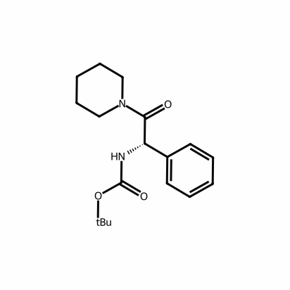 CC(C)(C)OC(=O)N[C@H](C(=O)N1CCCCC1)c1ccccc1